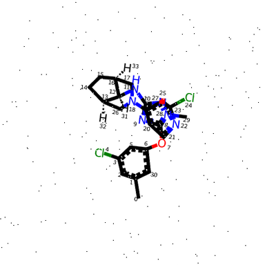 Cc1cc(Cl)cc(Oc2nc(N[C@H]3[C@@H]4CC[C@H]3CN(c3ccnc(Cl)c3)C4)nn2C)c1